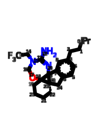 CC(C)CCc1ccc2c(c1)C13N=C(N)N(CC(F)(F)F)COC14CCCC[C@]43C2